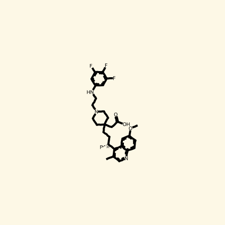 COc1ccc2ncc(C)c([C@H](F)CCC3(CC(=O)O)CCN(CCNc4cc(F)c(F)c(F)c4)CC3)c2c1